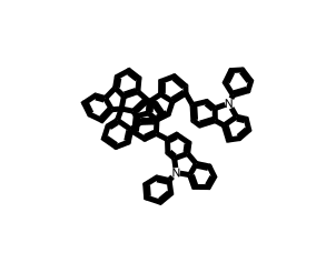 c1ccc(-n2c3ccccc3c3ccc(-c4cccc5c(-c6cccc7c6C6(c8ccccc8-c8ccccc86)c6ccccc6-7)c6cccc(-c7ccc8c9ccccc9n(-c9ccccc9)c8c7)c6cc45)cc32)cc1